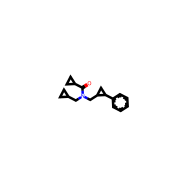 O=C(C1CC1)N(CC1CC1)CC1CC1c1ccccc1